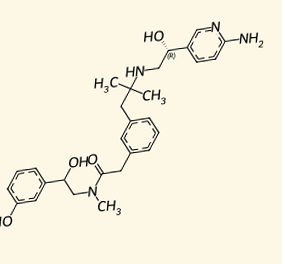 CN(CC(O)c1cccc(O)c1)C(=O)Cc1cccc(CC(C)(C)NC[C@H](O)c2ccc(N)nc2)c1